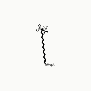 CCCCCCCC=CCCCCCCCCCCCC(CCC)(P(=O)=O)[N+](C)(C)C